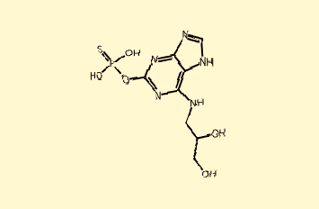 OCC(O)CNc1nc(OP(O)(O)=S)nc2nc[nH]c12